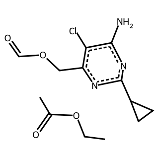 CCOC(C)=O.Nc1nc(C2CC2)nc(COC=O)c1Cl